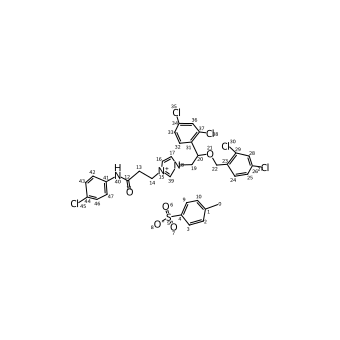 Cc1ccc(S(=O)(=O)[O-])cc1.O=C(CC[n+]1ccn(CC(OCc2ccc(Cl)cc2Cl)c2ccc(Cl)cc2Cl)c1)Nc1ccc(Cl)cc1